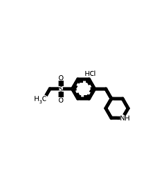 CCS(=O)(=O)c1ccc(CC2CCNCC2)cc1.Cl